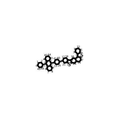 c1ccc(-c2c3ccccc3c(-c3ccc(-c4ccc5c(c4)sc4cc6ccc7sc8ccccc8c7c6cc45)cc3)c3ccccc23)cc1